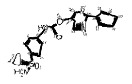 NS(=O)(=O)c1ccc(NC(=O)Oc2cnc(-c3ccccc3)nc2)cc1